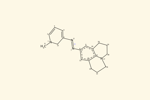 CN1C=CC=C(/N=N/c2cc3c4c(c2)CCCN4CCC3)C1